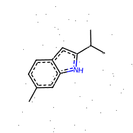 Cc1ccc2cc(C(C)C)[nH]c2c1